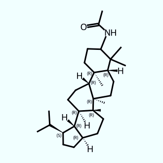 CC(=O)NC1CC[C@]2(C)[C@H]3CC[C@@H]4[C@@H]5[C@H](CC[C@H]5C(C)C)CC[C@@]4(C)[C@]3(C)CC[C@H]2C1(C)C